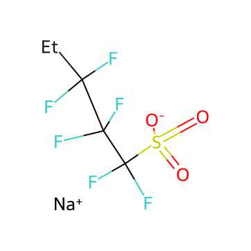 CCC(F)(F)C(F)(F)C(F)(F)S(=O)(=O)[O-].[Na+]